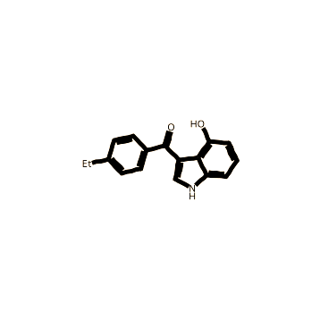 CCc1ccc(C(=O)c2c[nH]c3cccc(O)c23)cc1